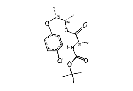 C[C@H](NC(=O)OC(C)(C)C)C(=O)O[C@@H](C)[C@@H](C)Oc1ccc(Cl)cc1